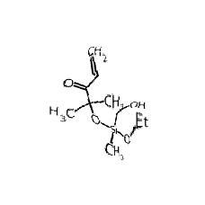 C=CC(=O)C(C)(C)O[Si](C)(CO)OCC